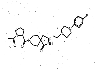 CC(=O)N1CCCC1C(=O)N1CCC2(CC1)C[C@H](CCN1CCN(c3ccc(F)cc3)CC1)NC2=O